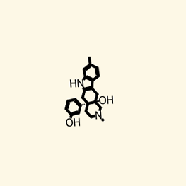 Cc1ccc2c3c([nH]c2c1)C[C@]1(c2cccc(O)c2)CCN(C)C[C@@]1(O)C3